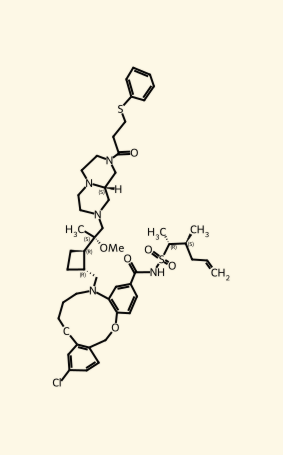 C=CC[C@H](C)[C@@H](C)S(=O)(=O)NC(=O)c1ccc2c(c1)N(C[C@@H]1CC[C@H]1[C@@](C)(CN1CCN3CCN(C(=O)CCSc4ccccc4)C[C@@H]3C1)OC)CCCCc1cc(Cl)ccc1CO2